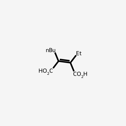 CCCC/C(C(=O)O)=C(\CC)C(=O)O